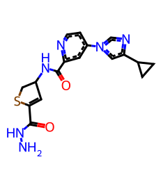 NNC(=O)C1=CC(NC(=O)c2cc(-n3cnc(C4CC4)c3)ccn2)CS1